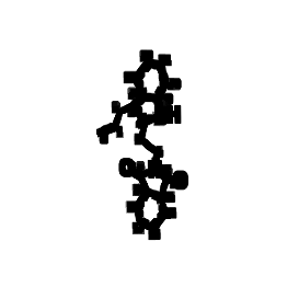 C=CCc1c(CCN2C(=O)c3ccccc3C2=O)[nH]c2ccccc12